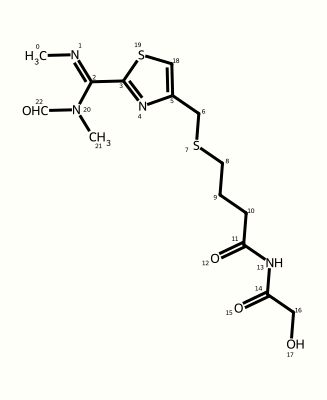 CN=C(c1nc(CSCCCC(=O)NC(=O)CO)cs1)N(C)C=O